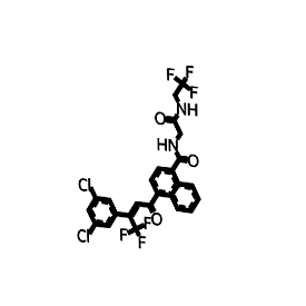 O=C(CNC(=O)c1ccc(C(=O)C=C(c2cc(Cl)cc(Cl)c2)C(F)(F)F)c2ccccc12)NCC(F)(F)F